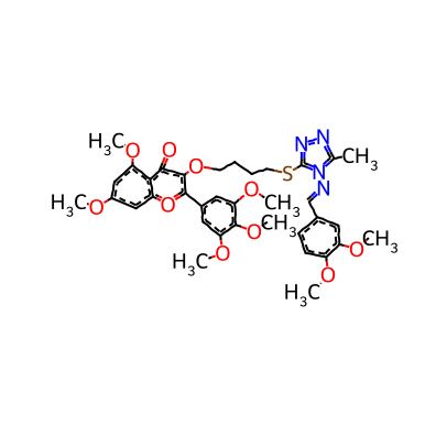 COc1cc(OC)c2c(=O)c(OCCCCSc3nnc(C)n3N=Cc3ccc(OC)c(OC)c3)c(-c3cc(OC)c(OC)c(OC)c3)oc2c1